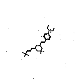 CCN(CC)c1ccc(/C=C/C2=CC(=C/C=C/C(C)(C)C)/CC(C)(C)C2)cc1